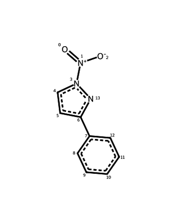 O=[N+]([O-])n1ccc(-c2ccccc2)n1